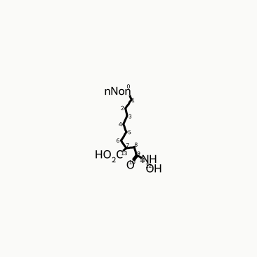 CCCCCCCCCCCCCCCC(CC(=O)NO)C(=O)O